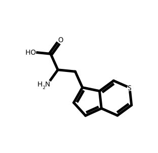 NC(Cc1ccc2ccscc1-2)C(=O)O